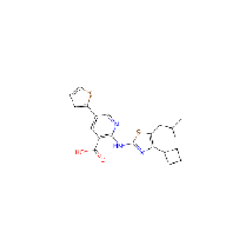 CC(C)Cc1sc(Nc2ncc(-c3cccs3)cc2C(=O)O)nc1C1CCC1